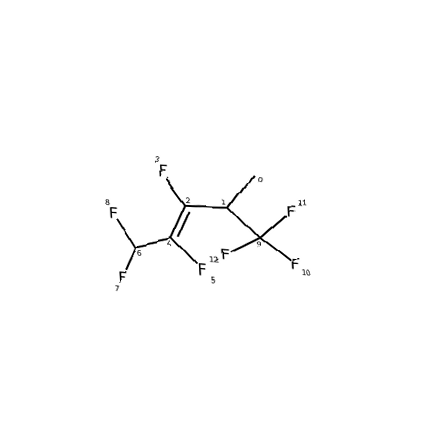 CC(/C(F)=C(\F)[C](F)F)C(F)(F)F